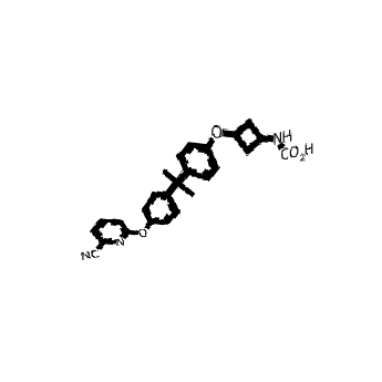 CC(C)(c1ccc(Oc2cccc(C#N)n2)cc1)c1ccc(OC2CC(NC(=O)O)C2)cc1